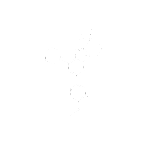 CNc1ccc(-c2nc(N3CCOCC3)c3nc4n(c3n2)CCOC4(C)C)cc1